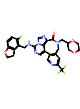 O=C1c2ncn3c(NCc4c(F)ccc5c4CCO5)ncc(c23)-c2cnc(C(F)(F)F)cc2CN1CC1COCCO1